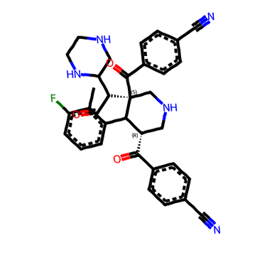 Cc1c(F)cccc1C1[C@@H](C(=O)c2ccc(C#N)cc2)CNC[C@@]1(C(=O)c1ccc(C#N)cc1)C(C=O)C1CNCCN1